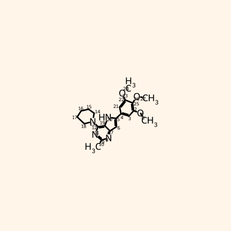 COc1cc(-c2cc3nc(C)nc(N4CCCCC4)c3[nH]2)cc(OC)c1OC